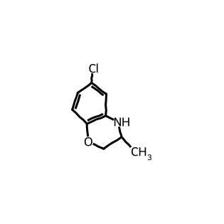 CC1COc2ccc(Cl)cc2N1